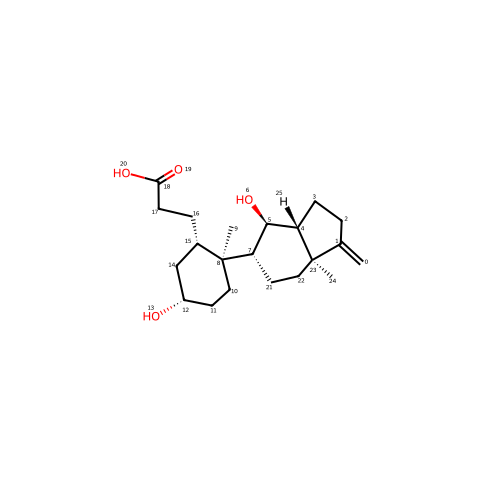 C=C1CC[C@H]2[C@H](O)[C@@H]([C@@]3(C)CC[C@H](O)C[C@@H]3CCC(=O)O)CC[C@]12C